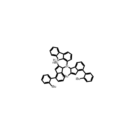 CCCCC1=Cc2c(-c3ccccc3C(C)CC)cccc2[CH]1[Zr]([c]1cccc2c1[SiH2]c1ccccc1-2)[CH]1C(CCCC)=Cc2c(-c3ccccc3C(C)CC)cccc21